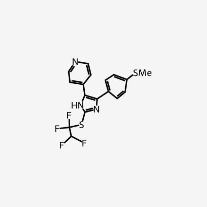 CSc1ccc(-c2nc(SC(F)(F)C(F)F)[nH]c2-c2ccncc2)cc1